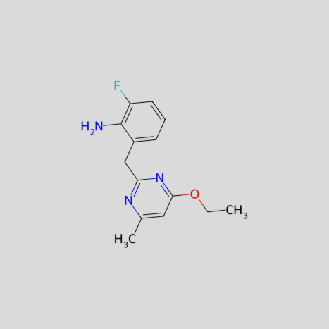 CCOc1cc(C)nc(Cc2cccc(F)c2N)n1